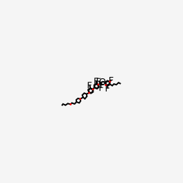 CCCCCCCC1CCC(C2CCC(c3ccc(-c4cc(F)c(C(F)(F)Oc5cc(F)c(CCCCC)c(F)c5)c(F)c4)c(F)c3)CC2)CC1